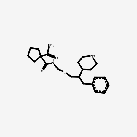 NC(=O)C1(C(=O)NCCCC(Cc2ccccc2)C2CCNCC2)CCCC1